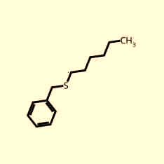 CCCCC[CH]SCc1ccccc1